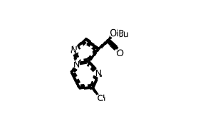 CC(C)COC(=O)c1cnn2ccc(Cl)nc12